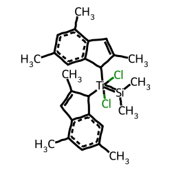 CC1=Cc2c(C)cc(C)cc2[CH]1[Ti]([Cl])([Cl])([CH]1C(C)=Cc2c(C)cc(C)cc21)=[Si](C)C